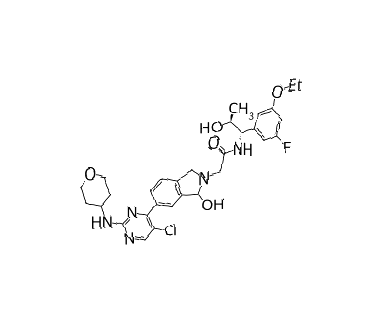 CCOc1cc(F)cc([C@H](NC(=O)CN2Cc3ccc(-c4nc(NC5CCOCC5)ncc4Cl)cc3C2O)[C@H](C)O)c1